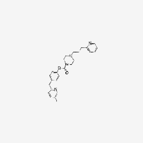 Cc1ccc(Cc2ccc(OC(=O)N3CCN(CCCc4ccccn4)CC3)cc2)nc1